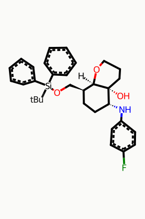 CC(C)(C)[Si](OC[C@@H]1CC[C@@H](Nc2ccc(F)cc2)[C@]2(O)CCCO[C@H]12)(c1ccccc1)c1ccccc1